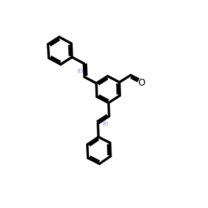 O=Cc1cc(/C=C/c2ccccc2)cc(/C=C/c2ccccc2)c1